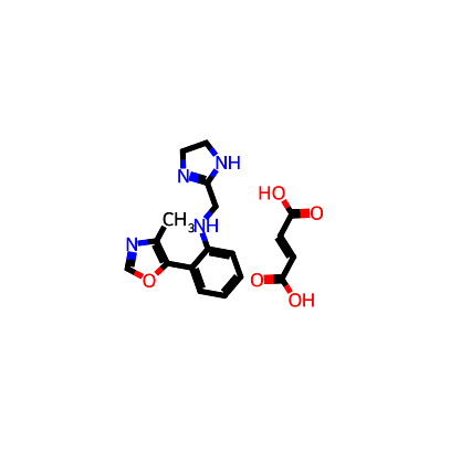 Cc1ncoc1-c1ccccc1NCC1=NCCN1.O=C(O)C=CC(=O)O